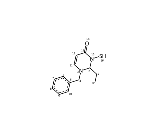 CCC1N(Cc2ccccc2)C=CC(=O)N1S